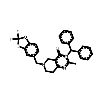 Cc1nc2c(c(=O)n1C(c1ccccc1)c1ccccc1)CN(Cc1ccc3c(c1)OC(F)(F)O3)CC2